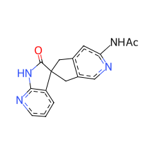 CC(=O)Nc1cc2c(cn1)CC1(C2)C(=O)Nc2ncccc21